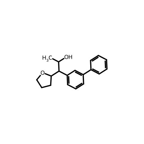 CC(O)C(c1cccc(-c2ccccc2)c1)C1CCCO1